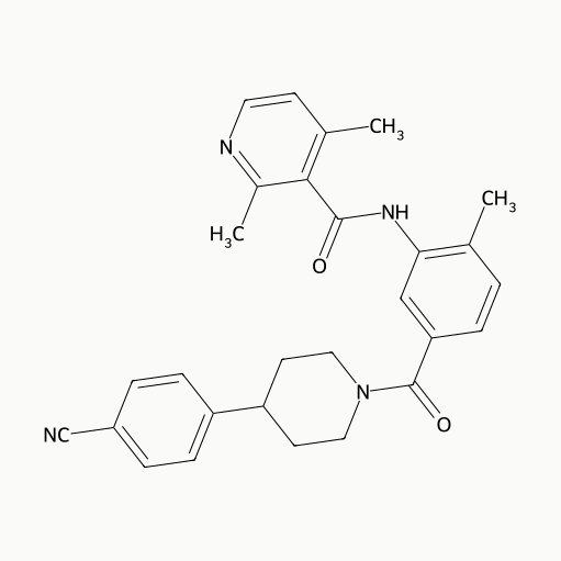 Cc1ccc(C(=O)N2CCC(c3ccc(C#N)cc3)CC2)cc1NC(=O)c1c(C)ccnc1C